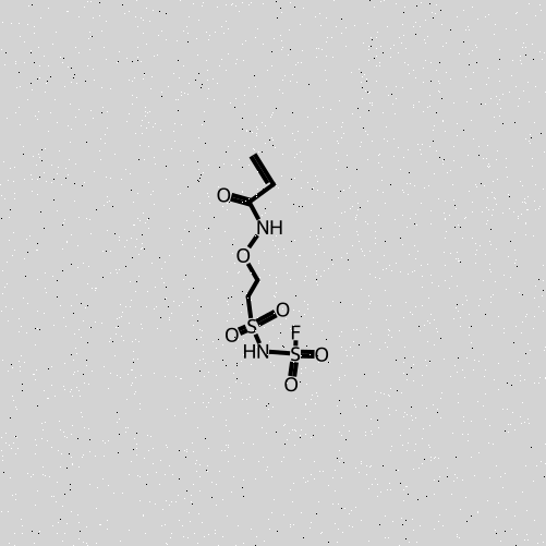 C=CC(=O)NOCCS(=O)(=O)NS(=O)(=O)F